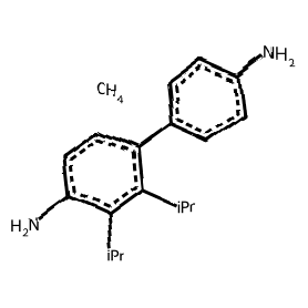 C.CC(C)c1c(N)ccc(-c2ccc(N)cc2)c1C(C)C